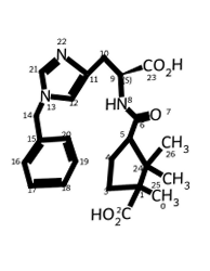 CC1(C(=O)O)CCC(C(=O)N[C@@H](Cc2cn(Cc3ccccc3)cn2)C(=O)O)C1(C)C